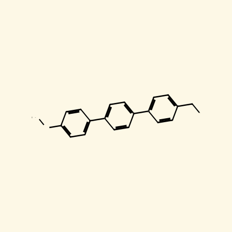 CCCCOc1ccc(-c2ccc(-c3ccc(CF)cc3)cc2)cc1